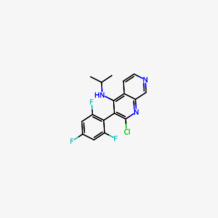 CC(C)Nc1c(-c2c(F)cc(F)cc2F)c(Cl)nc2cnccc12